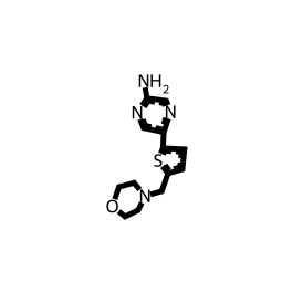 Nc1cnc(-c2ccc(CN3CCOCC3)s2)cn1